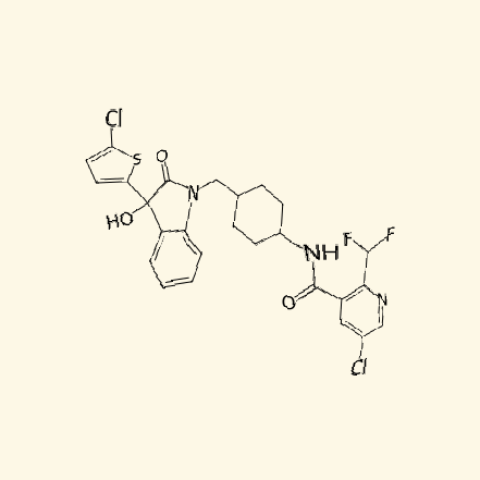 O=C(NC1CCC(CN2C(=O)C(O)(c3ccc(Cl)s3)c3ccccc32)CC1)c1cc(Cl)cnc1C(F)F